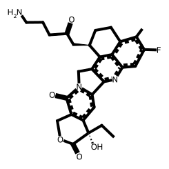 CC[C@@]1(O)C(=O)OCc2c1cc1n(c2=O)Cc2c-1nc1cc(F)c(C)c3c1c2[C@@H](CC(=O)CCCN)CC3